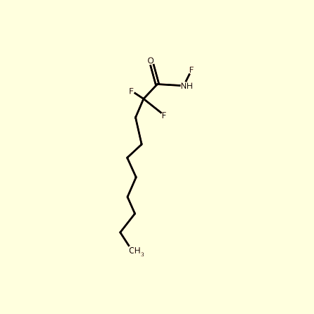 CCCCCCCCC(F)(F)C(=O)NF